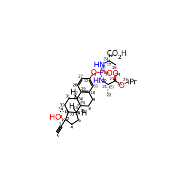 C#C[C@]1(O)CC[C@H]2[C@@H]3CCc4cc(OP(=O)(N[C@@H](C)C(=O)O)N[C@@H](C)C(=O)OC(C)C)ccc4[C@H]3CC[C@@]21C